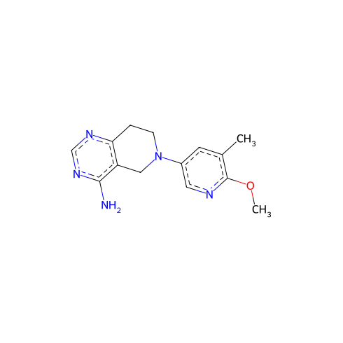 COc1ncc(N2CCc3ncnc(N)c3C2)cc1C